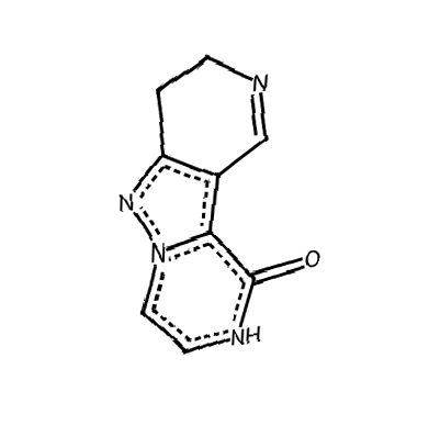 O=c1[nH]ccn2nc3c(c12)C=NCC3